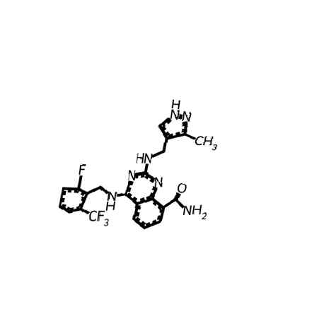 Cc1n[nH]cc1CNc1nc(NCc2c(F)cccc2C(F)(F)F)c2cccc(C(N)=O)c2n1